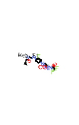 CCN(CCN(OC)C(=O)CC1CC1)c1ccc(N2C[C@H](CNC(=O)C(F)F)OC2=O)cc1F